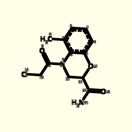 Cc1cccc2c1N(C(=O)CCl)CC(C(N)=O)O2